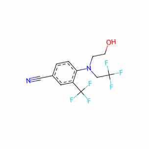 N#Cc1ccc(N(CCO)CC(F)(F)F)c(C(F)(F)F)c1